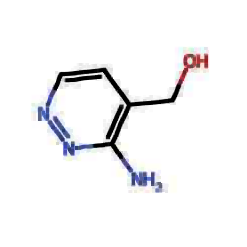 Nc1nnccc1CO